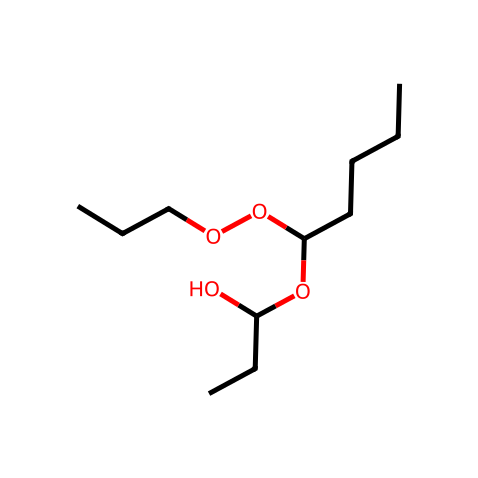 CCCCC(OOCCC)OC(O)CC